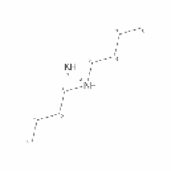 CCCCNCCCC.[KH]